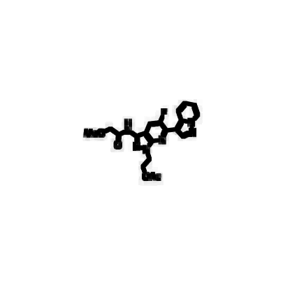 COCC(=O)Nc1nn(CCOC(C)=O)c2nc(-c3cnn4ccccc34)c(F)cc12